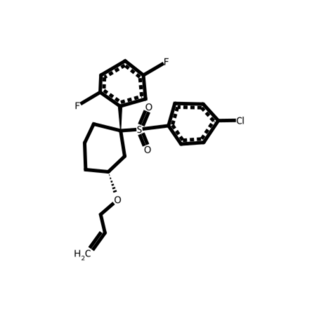 C=CCO[C@@H]1CCC[C@](c2cc(F)ccc2F)(S(=O)(=O)c2ccc(Cl)cc2)C1